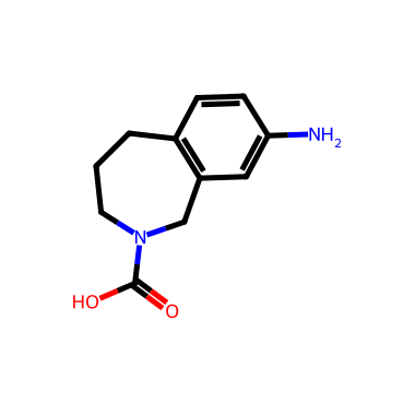 Nc1ccc2c(c1)CN(C(=O)O)CCC2